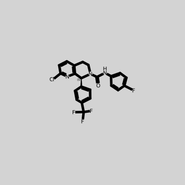 O=C(Nc1ccc(F)cc1)N1CCc2ccc(Cl)nc2[C@@H]1c1ccc(C(F)(F)F)cc1